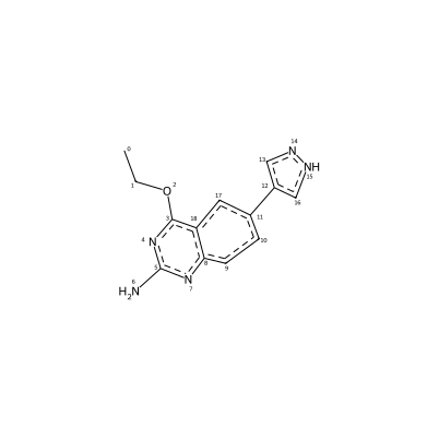 CCOc1nc(N)nc2ccc(-c3cn[nH]c3)cc12